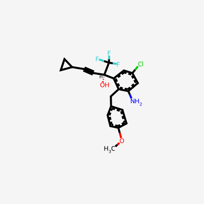 COc1ccc(Cc2c(N)cc(Cl)cc2[C@@](O)(C#CC2CC2)C(F)(F)F)cc1